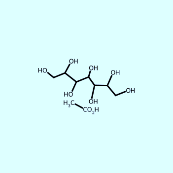 CC(=O)O.OCC(O)C(O)C(O)C(O)C(O)CO